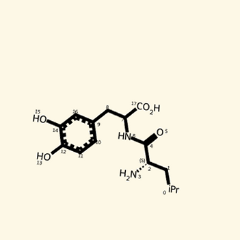 CC(C)C[C@H](N)C(=O)NC(Cc1ccc(O)c(O)c1)C(=O)O